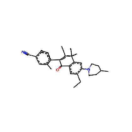 CCc1cc2c(cc1N1CCC(C)CC1)C(C)(C)C(C)=C(c1ccc(C#N)cc1C)C2=O